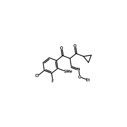 CCON=CC(C(=O)c1ccc(Cl)c(F)c1SC)C(=O)C1CC1